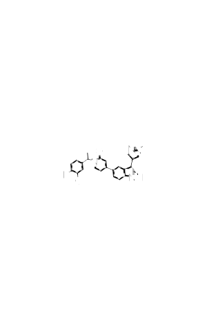 CC(c1ccc(F)c(Cl)c1)n1ccc(-c2ccc3[nH]nc(-c4cnn(C)c4)c3c2)cc1=O